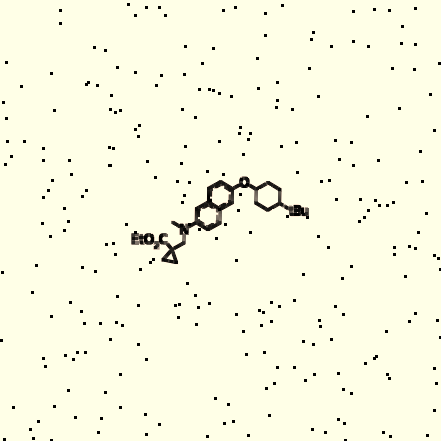 CCOC(=O)C1(CN(C)c2ccc3cc(OC4CCC(C(C)(C)C)CC4)ccc3c2)CC1